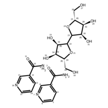 NC(=O)c1cccnc1.NC(=O)c1cccnc1.OC[C@H]1OC(C2O[C@H](CO)[C@@H](O)[C@H]2O)[C@H](O)[C@@H]1O